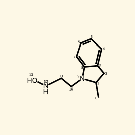 CC1Cc2ccccc2N1CCNO